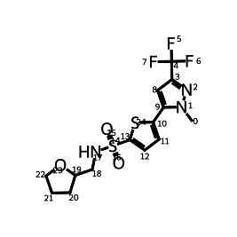 Cn1nc(C(F)(F)F)cc1-c1ccc(S(=O)(=O)NCC2CCCO2)s1